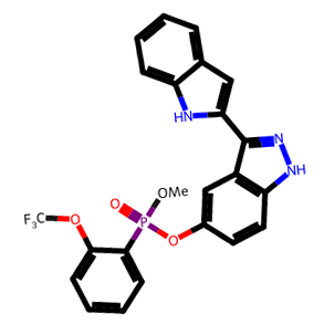 COP(=O)(Oc1ccc2[nH]nc(-c3cc4ccccc4[nH]3)c2c1)c1ccccc1OC(F)(F)F